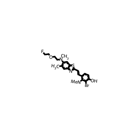 CNc1c(/C=C/c2nc3cc(C)c(N(C)CCOCCF)cc3s2)ccc(O)c1Br